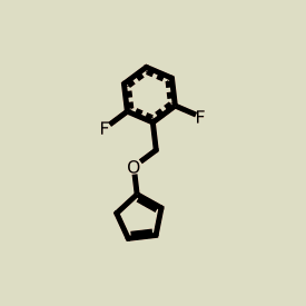 Fc1cccc(F)c1COC1=CC=CC1